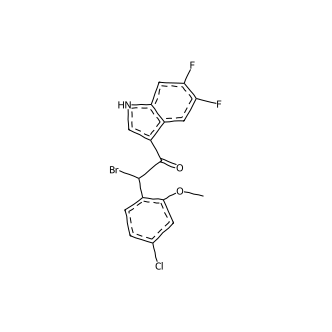 COc1cc(Cl)ccc1C(Br)C(=O)c1c[nH]c2cc(F)c(F)cc12